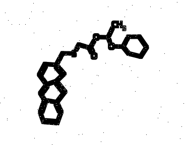 CC(OC(=O)CSCc1ccc2cc3ccccc3cc2c1)OC1CCCCC1